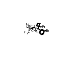 CCCC1(C(OCC(C)(C)[SiH](C)C)c2cccc(Br)c2)CCC1